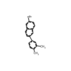 CCCc1ccc2cc(-c3ccc(C)c(C)c3)ccc2c1